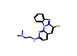 CN(C)CCNc1ccc2cc(C#N)c3nc4ccccc4n3c2n1